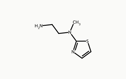 CN(CCN)c1nccs1